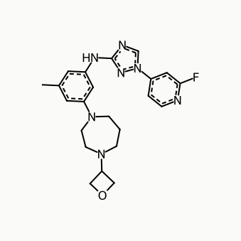 Cc1cc(Nc2ncn(-c3ccnc(F)c3)n2)cc(N2CCCN(C3COC3)CC2)c1